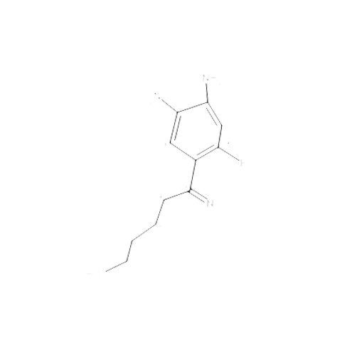 CCCCCC(=N)c1cc(N)c(N)cc1F